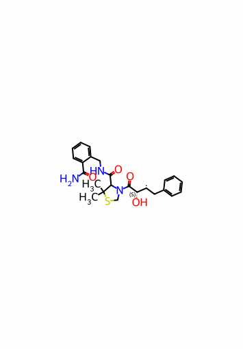 CC1(C)SCN(C(=O)[C@@H](O)[CH]Cc2ccccc2)C1C(=O)NCc1ccccc1C(N)=O